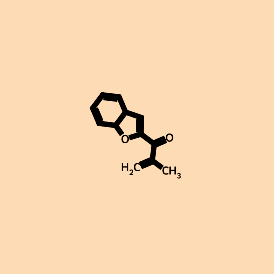 C=C(C)C(=O)C1=CC2C=CC=CC2O1